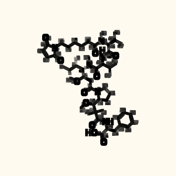 CC[C@H](C)[C@@H]([C@@H](CC(=O)N1CCC[C@H]1[C@H](OC)C(C)(C)C(=O)N[C@@H](Cc1ccccc1)C(=O)O)OC)N(C)C(=O)[C@@H](NC(=O)[C@H](C(C)C)N(C)C(=O)CCCCCN1C(=O)C=CC1=O)C(C)C